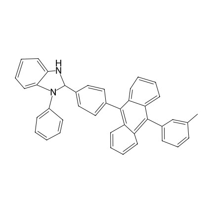 Cc1cccc(-c2c3ccccc3c(-c3ccc(C4Nc5ccccc5N4c4ccccc4)cc3)c3ccccc23)c1